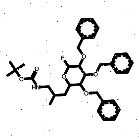 CC(CNC(=O)OC(C)(C)C)CC1OC(F)C(OCc2ccccc2)C(OCc2ccccc2)C1OCc1ccccc1